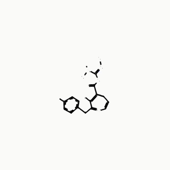 CN(N)/C(=N\N)NC(=O)C1=C(Cl)C(Cc2ccc(F)cc2)=NC=CC1